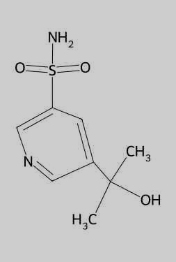 CC(C)(O)c1cncc(S(N)(=O)=O)c1